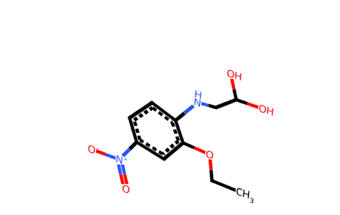 CCOc1cc([N+](=O)[O-])ccc1NCC(O)O